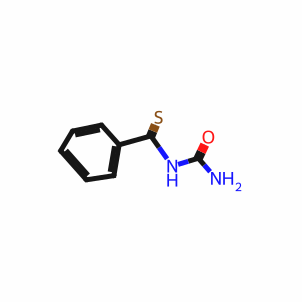 NC(=O)NC(=S)c1ccccc1